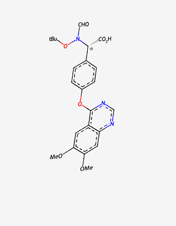 COc1cc2ncnc(Oc3ccc([C@@H](C(=O)O)N(C=O)OC(C)(C)C)cc3)c2cc1OC